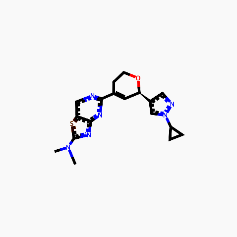 CN(C)c1nc2nc(C3=C[C@H](c4cnn(C5CC5)c4)OCC3)ncc2s1